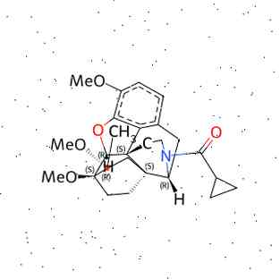 COc1ccc2c3c1O[C@H]1[C@@]4(OC)CC[C@@]5(C[C@@]4(C)OC)[C@@H](C2)N(C(=O)C2CC2)CC[C@]315